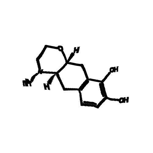 CCCN1CCO[C@@H]2Cc3c(ccc(O)c3O)C[C@H]21